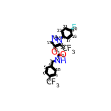 O=C(NCc1ccc(C(F)(F)F)cc1)Oc1cnn(-c2ccc(F)cc2)c1C(F)(F)F